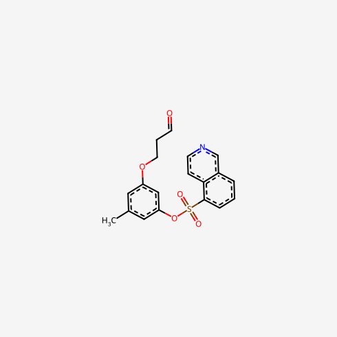 Cc1cc(OCCC=O)cc(OS(=O)(=O)c2cccc3cnccc23)c1